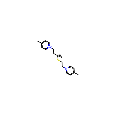 Cc1cc[n+](CC[SiH2]SCC[n+]2ccc(C)cc2)cc1